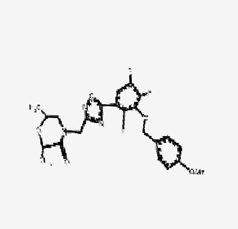 COc1ccc(COc2c(F)c(F)cc(-c3nc(CN4C[C@H](C)O[C@H](C)C4=O)no3)c2F)cc1